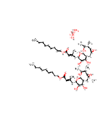 C/C(=C\C(=O)OCCCCCCCCC(=O)[O-])C[C@@H]1OC[C@H](C[C@@H]2O[C@H]2[C@@H](C)[C@H](C)O)[C@@H](O)[C@H]1O.C/C(=C\C(=O)OCCCCCCCCC(=O)[O-])C[C@@H]1OC[C@H](C[C@@H]2O[C@H]2[C@@H](C)[C@H](C)O)[C@@H](O)[C@H]1O.O.O.O.O.[Ca+2]